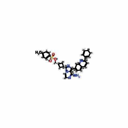 Cc1ccc(S(=O)(=O)OC[C@H]2C[C@@H](c3nc(C4=CC=C5C=CC(C6=CCCC=C6)=NC5C4)c4c(N)nccn43)C2)cc1